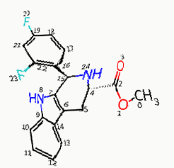 COC(=O)[C@@H]1Cc2c([nH]c3ccccc23)[C@@H](c2ccc(F)cc2F)N1